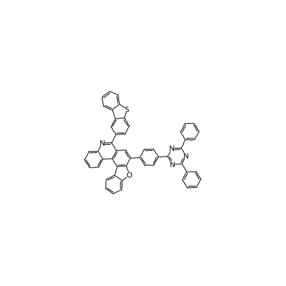 c1ccc(-c2nc(-c3ccccc3)nc(-c3ccc(-c4cc5c(-c6ccc7sc8ccccc8c7c6)nc6ccccc6c5c5c4oc4ccccc45)cc3)n2)cc1